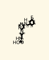 O=C(O)NCC1CN(c2cc(NCc3cccc(F)c3)ncn2)C1